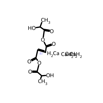 CC(O)C(=O)OC(=O)/C=C/C(=O)OC(=O)C(C)O.[CaH2].[CaH2].[CaH2].[CaH2]